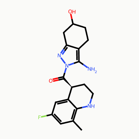 Cc1cc(F)cc2c1NCC[C@@H]2C(=O)n1nc2c(c1N)CCC(O)C2